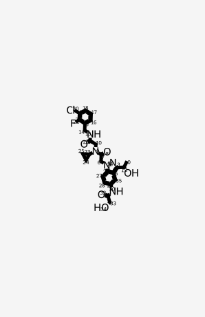 CC(O)c1nn(CC(=O)N(CC(=O)NCc2cccc(Cl)c2F)C2CC2)c2ccc(NC(=O)CO)cc12